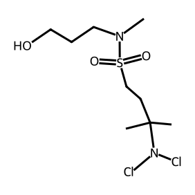 CN(CCCO)S(=O)(=O)CCC(C)(C)N(Cl)Cl